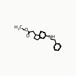 CCOC(=O)CC1CCc2cc(NCCc3ccccc3)ccc21